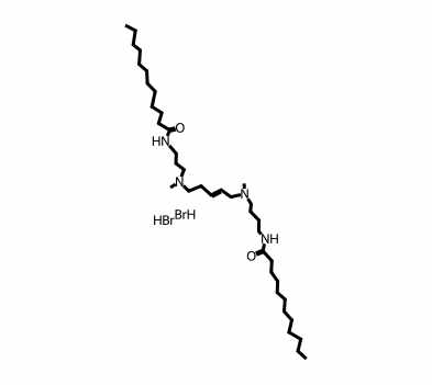 Br.Br.CCCCCCCCCCCC(=O)NCCCCN(C)CC=CCCN(C)CCCNC(=O)CCCCCCCCCCC